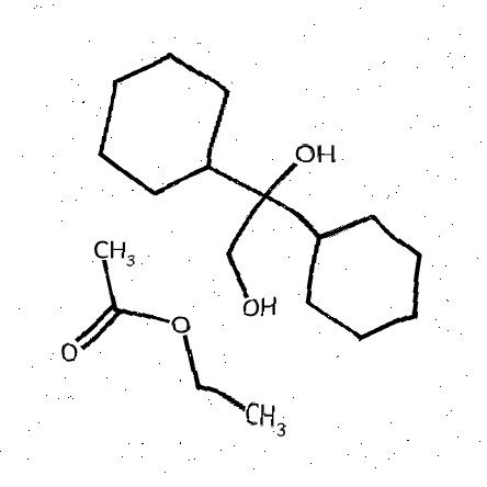 CCOC(C)=O.OCC(O)(C1CCCCC1)C1CCCCC1